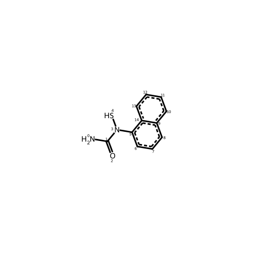 NC(=O)N(S)c1cccc2ccccc12